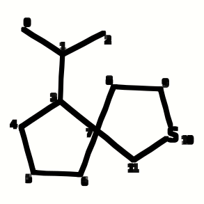 CC(C)C1CCCC12CCSC2